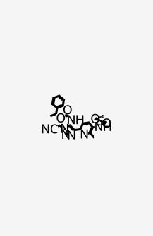 Cc1nc(-c2nnn(CC#N)c2NC(=O)OC(C)c2ccccc2)ccc1NS(C)(=O)=O